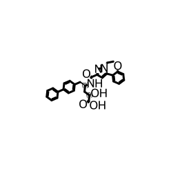 O=C(N[C@H](Cc1ccc(-c2ccccc2)cc1)C[C@@H](O)C(=O)O)c1cc2n(n1)CCOc1ccccc1-2